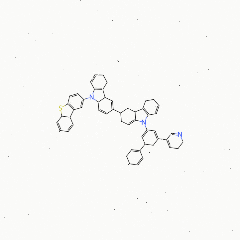 C1=CC2Sc3ccc(N4C5=C(CCC=C5)C5C=C(C6CC=C7C(C6)C6=C(C=CCC6)N7C6=CC(C7=CCCC=C7)CC(C7=CCCN=C7)=C6)C=CC54)cc3C2C=C1